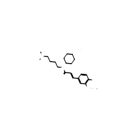 COc1cc(C=CC(=O)N(CCCCN(C)C)[C@H]2CC[C@H](OC)CC2)ccc1O